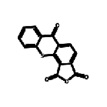 O=C1OC(=O)c2c1ccc1c(=O)c3ccccc3sc21